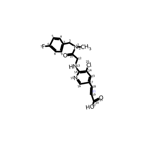 CN(Cc1ccc(F)cc1)C(=O)CNc1ncc(/C=C/C(=O)O)cc1Cl